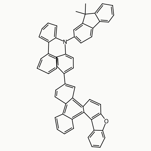 CC1(C)c2ccccc2-c2ccc(N(c3ccc(-c4ccc5c6ccccc6c6c(ccc7oc8ccccc8c76)c5c4)cc3)c3ccccc3-c3ccccc3)cc21